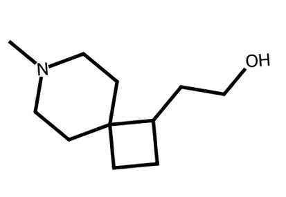 CN1CCC2(CCC2CCO)CC1